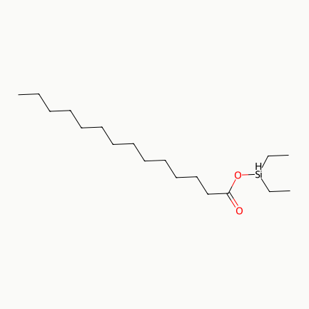 CCCCCCCCCCCCCC(=O)O[SiH](CC)CC